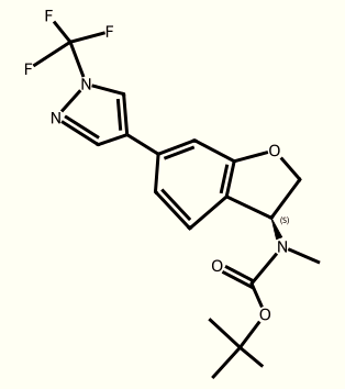 CN(C(=O)OC(C)(C)C)[C@@H]1COc2cc(-c3cnn(C(F)(F)F)c3)ccc21